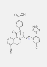 N#Cc1cccc2c1CCN(C(=O)/C=C/c1cc(Cl)ccc1-n1cnnn1)C2C(=O)Nc1ccc(C(=O)O)cc1